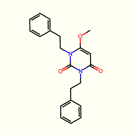 COc1cc(=O)n(CCc2ccccc2)c(=O)n1CCc1ccccc1